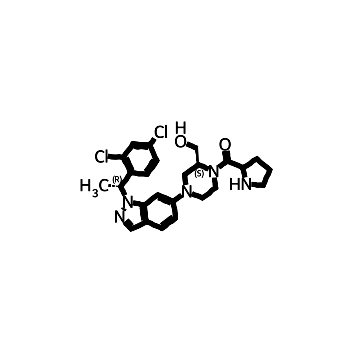 C[C@H](c1ccc(Cl)cc1Cl)n1ncc2ccc(N3CCN(C(=O)C4CCCN4)[C@H](CO)C3)cc21